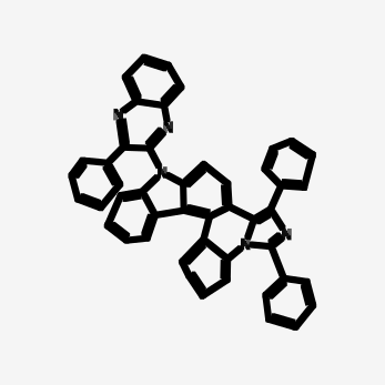 c1ccc(-c2nc3ccccc3nc2-n2c3ccccc3c3c4c5ccccc5n5c(-c6ccccc6)nc(-c6ccccc6)c5c4ccc32)cc1